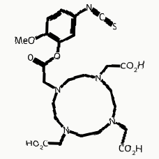 COc1ccc(N=C=S)cc1OC(=O)CN1CCN(CC(=O)O)CCN(CC(=O)O)CCN(CC(=O)O)CC1